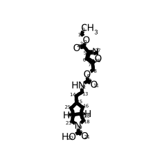 CCOC(=O)c1cc(COC(=O)NCCC2C[C@@H]3CN(C(=O)O)C[C@@H]3C2)on1